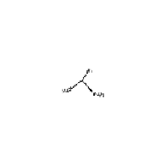 CCCC(CC)NC